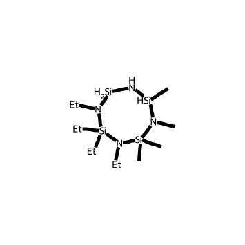 CCN1[SiH2]N[SiH](C)N(C)[Si](C)(C)N(CC)[Si]1(CC)CC